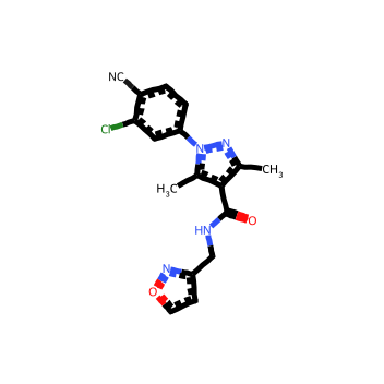 Cc1nn(-c2ccc(C#N)c(Cl)c2)c(C)c1C(=O)NCc1ccon1